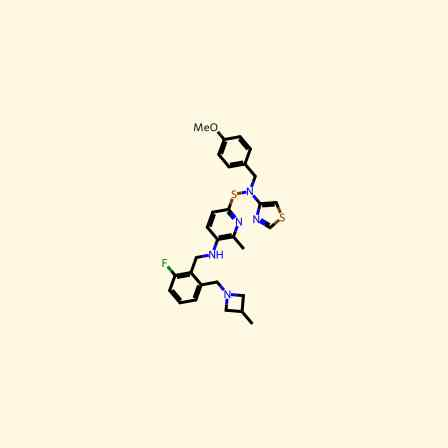 COc1ccc(CN(Sc2ccc(NCc3c(F)cccc3CN3CC(C)C3)c(C)n2)c2cscn2)cc1